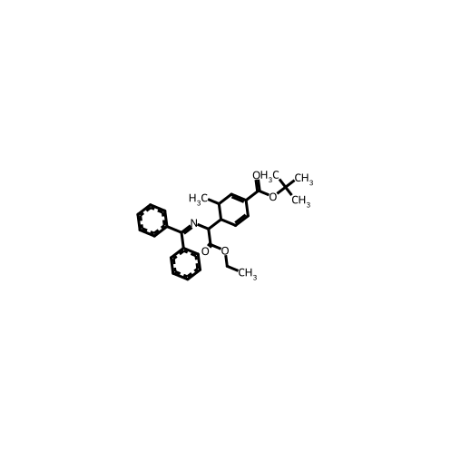 CCOC(=O)C(N=C(c1ccccc1)c1ccccc1)C1C=CC(C(=O)OC(C)(C)C)=CC1C